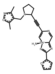 Cc1noc(C)c1CN1CCCC1C#CC1=C[N@@+]2(N)N=C(c3ccco3)N=C2C=N1